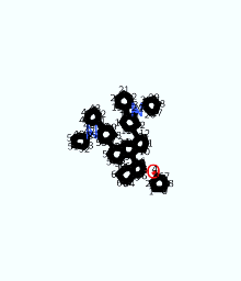 c1ccc(Oc2cc(-c3c4cccc(-c5ccc6c7ccccc7n(-c7ccccc7)c6c5)c4cc4c(-c5ccc6c7ccccc7n(-c7ccccc7)c6c5)cccc34)c3ccccc3c2)cc1